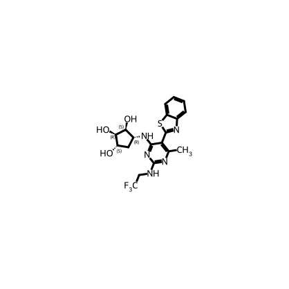 Cc1nc(NCC(F)(F)F)nc(N[C@@H]2C[C@H](O)[C@@H](O)[C@H]2O)c1-c1nc2ccccc2s1